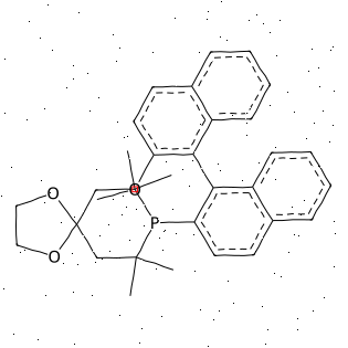 COc1ccc2ccccc2c1-c1c(P2C(C)(C)CC3(CC2(C)C)OCCO3)ccc2ccccc12